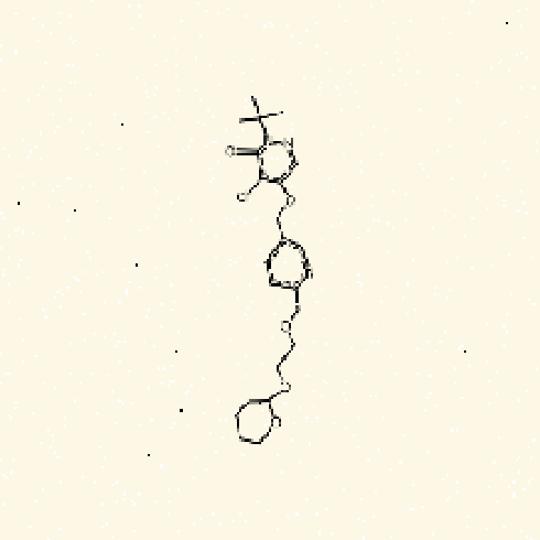 CC(C)(C)n1ncc(OCc2ccc(COCCOC3CCCCO3)nc2)c(Cl)c1=O